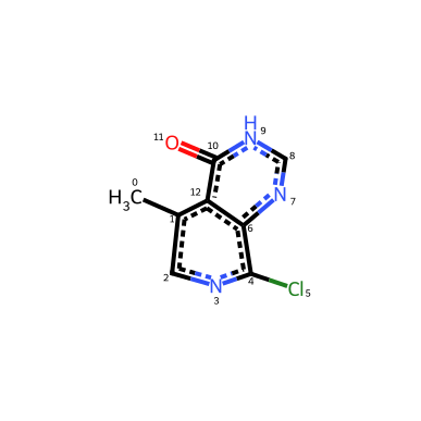 Cc1cnc(Cl)c2nc[nH]c(=O)c12